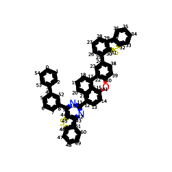 c1ccc(-c2cccc(-c3nc(-c4ccc5c6c(cccc46)-c4cc(-c6cccc7c6sc6ccccc67)ccc4O5)nc4c3sc3ccccc34)c2)cc1